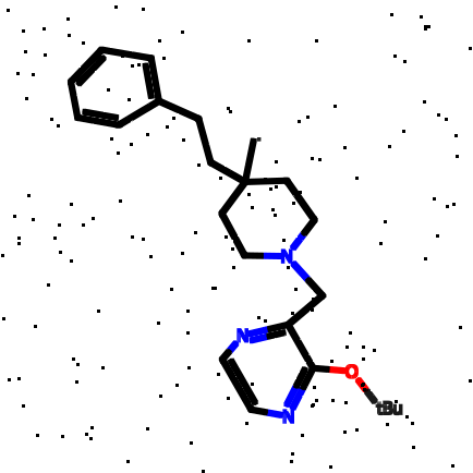 [CH2]C1(CCc2ccccc2)CCN(Cc2nccnc2OC(C)(C)C)CC1